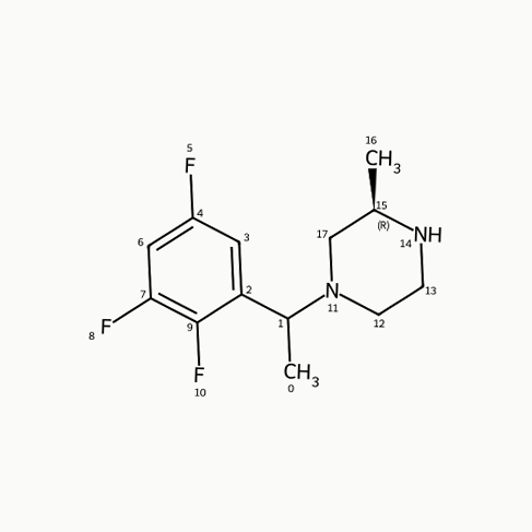 CC(c1cc(F)cc(F)c1F)N1CCN[C@H](C)C1